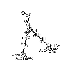 CC(=O)NC1C(OCCCCC(=O)NCCCNC(=O)CCNc2nc(NCCC(=O)NCCCNC(=O)CCCCOC3OC(COC(C)=O)C(OC(C)=O)C(OC(C)=O)C3NC(C)=O)nc(N3CCN(C(=O)CCCC(=O)OCc4ccccc4)CC3)n2)OC(COC(C)=O)C(OC(C)=O)C1OC(C)=O